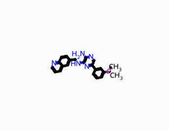 CP(C)c1cccc(-c2cnc(N)c(NCc3ccc4ncccc4c3)n2)c1